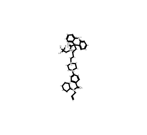 C=CCN(C(=O)c1ccc(N2CCN(CCCCC3(C(=O)NCC(F)(F)F)c4ccccc4Sc4ccccc43)CC2)cc1)C1CCCCC1